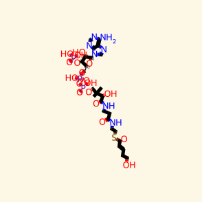 CC(C)(COP(=O)(O)OP(=O)(O)OC[C@H]1O[C@@H](n2cnc3c(N)ncnc32)[C@H](O)[C@@H]1OP(=O)(O)O)C(O)C(=O)NCCC(=O)NCCSC(=O)C=CCCO